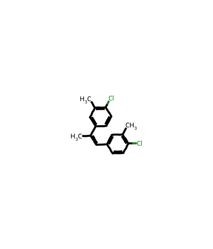 CC(=Cc1ccc(Cl)c(C)c1)c1ccc(Cl)c(C)c1